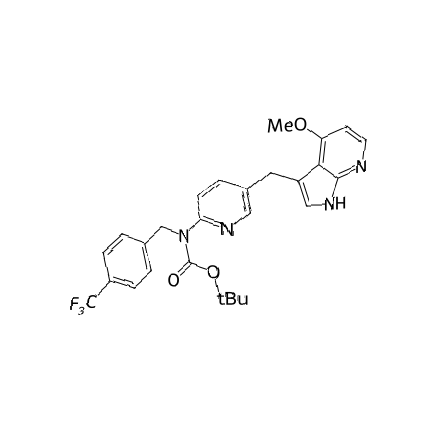 COc1ccnc2[nH]cc(Cc3ccc(N(Cc4ccc(C(F)(F)F)cc4)C(=O)OC(C)(C)C)nc3)c12